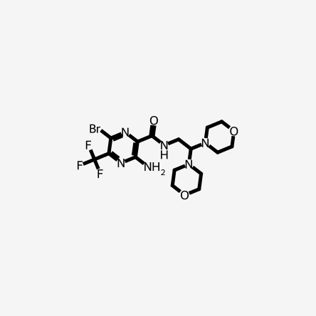 Nc1nc(C(F)(F)F)c(Br)nc1C(=O)NCC(N1CCOCC1)N1CCOCC1